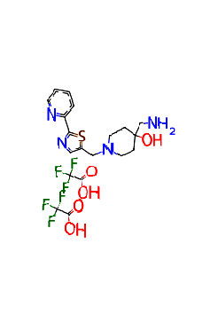 NCC1(O)CCN(Cc2cnc(-c3ccccn3)s2)CC1.O=C(O)C(F)(F)F.O=C(O)C(F)(F)F